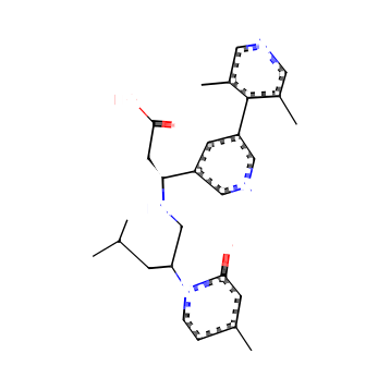 Cc1ccn(C(CN[C@@H](CC(=O)O)c2cncc(-c3c(C)cncc3C)c2)CC(C)C)c(=O)c1